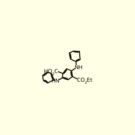 CCOC(=O)c1cc(Nc2ccccc2)c(C(=O)O)cc1Nc1ccccc1